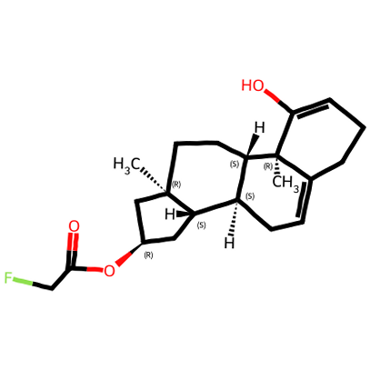 C[C@]12CC[C@H]3[C@@H](CC=C4CCC=C(O)[C@@]43C)[C@@H]1C[C@@H](OC(=O)CF)C2